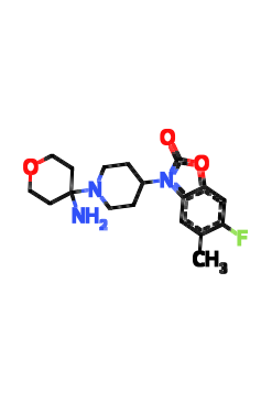 Cc1cc2c(cc1F)oc(=O)n2C1CCN(C2(N)CCOCC2)CC1